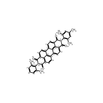 Cc1cc(C)c(N2C(=O)c3ccc4c5ccc6c7c(ccc(c8ccc(c3c48)C2=O)c75)C(=O)N(c2c(C)cccc2C)C6=O)c(C)c1